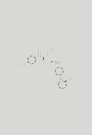 CO[C@H]1C[C@H](C(=O)Nc2ccc(Cl)cc2)[C@@H](C(=O)Nc2ccc(-n3ccccc3=O)cc2F)C1